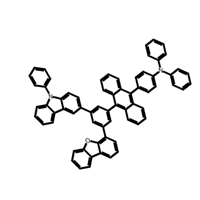 c1ccc(N(c2ccccc2)c2ccc(-c3c4ccccc4c(-c4cc(-c5ccc6c(c5)c5ccccc5n6-c5ccccc5)cc(-c5cccc6c5oc5ccccc56)c4)c4ccccc34)cc2)cc1